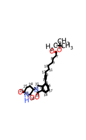 CC(C)(C)OC(=O)CCCCCCC#Cc1cccc2c1CN(C1CCC(=O)NC1=O)C2=O